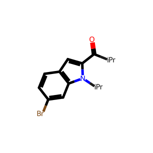 CC(C)C(=O)c1cc2ccc(Br)cc2n1C(C)C